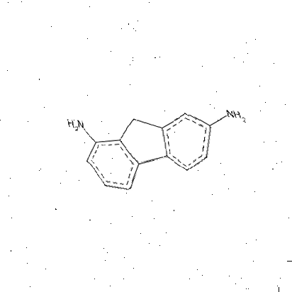 Nc1ccc2c(c1)Cc1c(N)cccc1-2